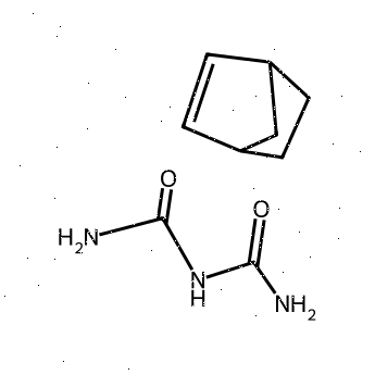 C1=CC2CCC1C2.NC(=O)NC(N)=O